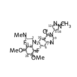 CNCCN(c1ccc2ncn(-c3cnn(C)c3)c(=O)c2c1)c1c(F)c(OC)cc(OC)c1F